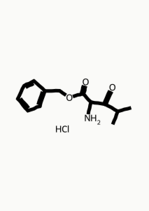 CC(C)C(=O)C(N)C(=O)OCc1ccccc1.Cl